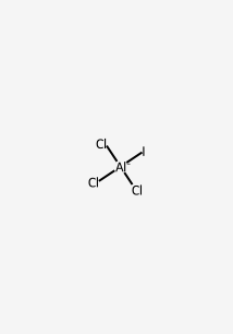 [Cl][Al-]([Cl])([Cl])[I]